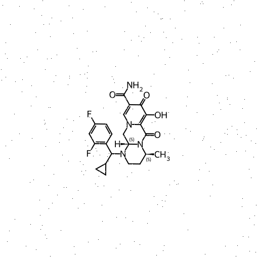 C[C@H]1CCN(C(c2ccc(F)cc2F)C2CC2)[C@@H]2Cn3cc(C(N)=O)c(=O)c(O)c3C(=O)N12